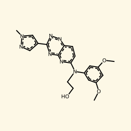 COc1cc(OC)cc(N(CCO)c2ccc3nnc(-c4cnn(C)c4)nc3n2)c1